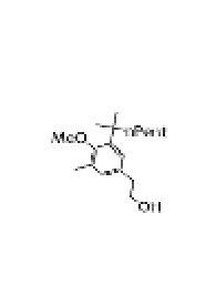 CCCCCC(C)(C)c1cc(CCO)cc(C)c1OC